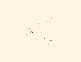 CCN(CC)c1cc(N(Cc2ccccc2)Cc2ccccc2)c2c(c1)C1(OC2=O)c2ccccc2Oc2ccccc21